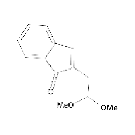 COC(CC1=Cc2ccccc2C1=O)OC